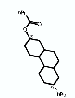 CCCC[C@@H]1CCC2C(CCC3C[C@H](OC(=O)CCC)CCC32)C1